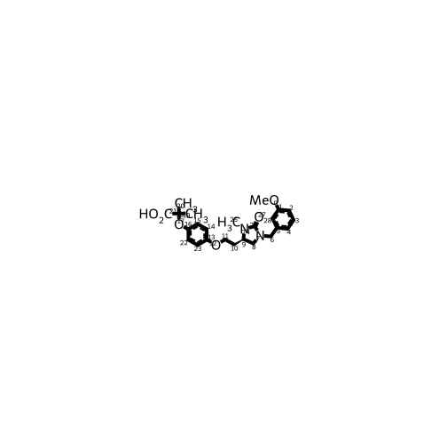 COc1cccc(CN2C[C@@H](CCOc3ccc(OC(C)(C)C(=O)O)cc3)N(C)C2=O)c1